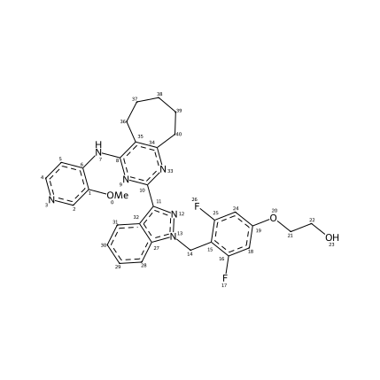 COc1cnccc1Nc1nc(-c2nn(Cc3c(F)cc(OCCO)cc3F)c3ccccc23)nc2c1CCCCC2